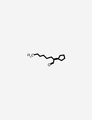 CCCCCCC(C=O)=C1CCCC1